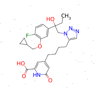 CCC(O)(Cn1nncc1CCCCc1cc(C(=O)O)[nH]c(=O)c1)c1ccc(F)c(OCC2CC2)c1